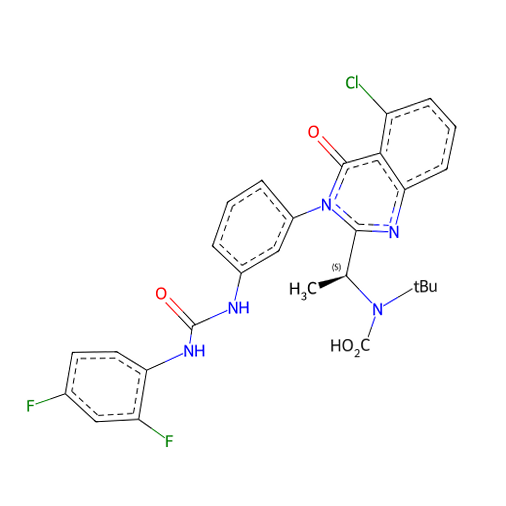 C[C@@H](c1nc2cccc(Cl)c2c(=O)n1-c1cccc(NC(=O)Nc2ccc(F)cc2F)c1)N(C(=O)O)C(C)(C)C